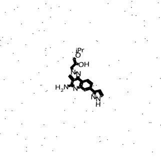 CC(C)OCC(O)Cn1cc2c(N)nc3cc(-c4cc[nH]n4)ccc3c2n1